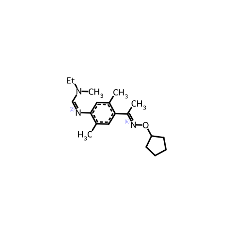 CCN(C)/C=N\c1cc(C)c(/C(C)=N/OC2CCCC2)cc1C